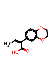 CC=C(C(=O)O)c1ccc2c(c1)OCCO2